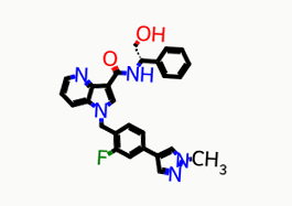 Cn1cc(-c2ccc(Cn3cc(C(=O)N[C@H](CO)c4ccccc4)c4ncccc43)c(F)c2)cn1